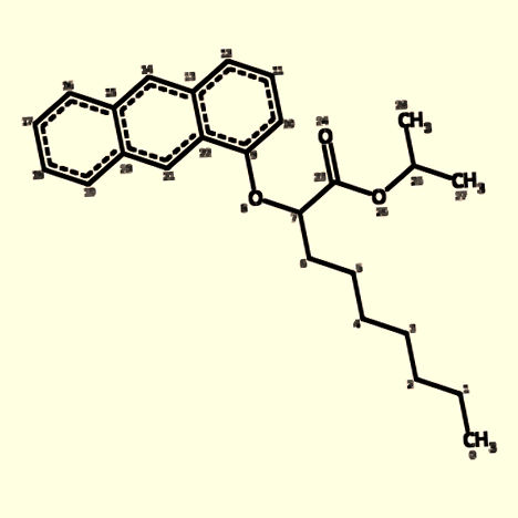 CCCCCCCC(Oc1cccc2cc3ccccc3cc12)C(=O)OC(C)C